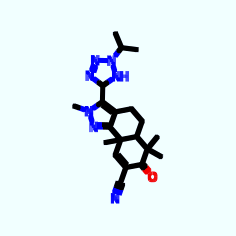 CC(C)N1N=NC(c2c3c(nn2C)C2(C)C=C(C#N)C(=O)C(C)(C)C2CC3)N1